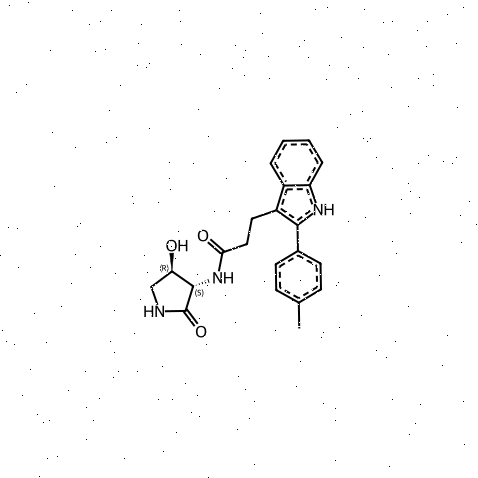 Cc1ccc(-c2[nH]c3ccccc3c2CCC(=O)N[C@@H]2C(=O)NC[C@H]2O)cc1